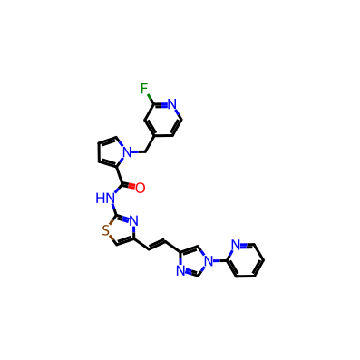 O=C(Nc1nc(/C=C/c2cn(-c3ccccn3)cn2)cs1)c1cccn1Cc1ccnc(F)c1